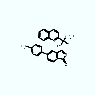 CC(C)C(C)(C(=O)O)c1ccc2ccccc2n1.O=C1N=Cc2cc(-c3ccc([N+](=O)[O-])cc3)ccc21